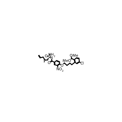 C=CC[C@H](C)CS(N)(=O)=NC(=O)c1ccc(OCCCCc2cc(Cl)ccc2C(OC)OC)c([N+](=O)[O-])c1